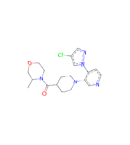 CC1COCCN1C(=O)C1CCN(c2cnccc2-n2cc(Cl)cn2)CC1